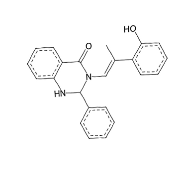 C/C(=C\N1C(=O)c2ccccc2NC1c1ccccc1)c1ccccc1O